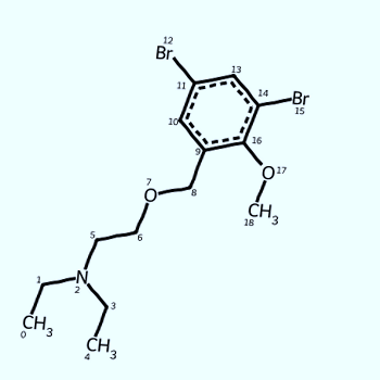 CCN(CC)CCOCc1cc(Br)cc(Br)c1OC